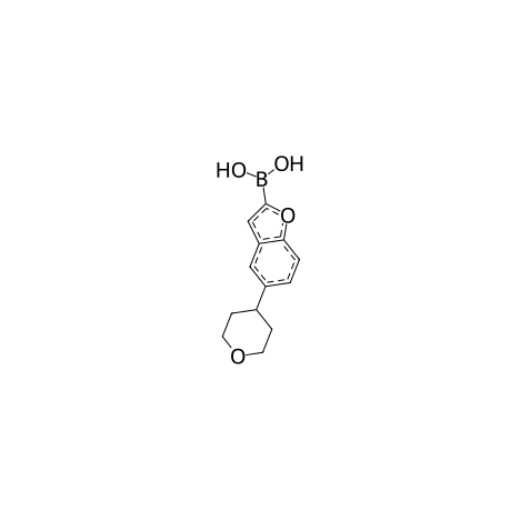 OB(O)c1cc2cc(C3CCOCC3)ccc2o1